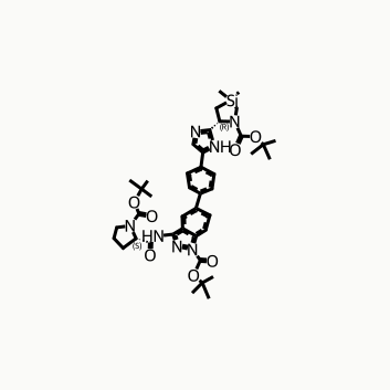 CC(C)(C)OC(=O)N1CCC[C@H]1C(=O)Nc1nn(C(=O)OC(C)(C)C)c2ccc(-c3ccc(-c4cnc([C@@H]5C[Si](C)(C)CN5C(=O)OC(C)(C)C)[nH]4)cc3)cc12